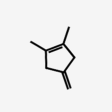 C=C1CC(C)=C(C)C1